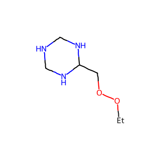 CCOOCC1NCNCN1